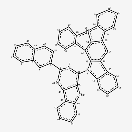 c1ccc2cc(-c3nc(-n4c5ccccc5c5cc6c7ccccc7n7c8ccccc8c(c54)c67)c4oc5ccccc5c4n3)ccc2c1